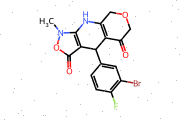 Cn1oc(=O)c2c1NC1=C(C(=O)COC1)C2c1ccc(F)c(Br)c1